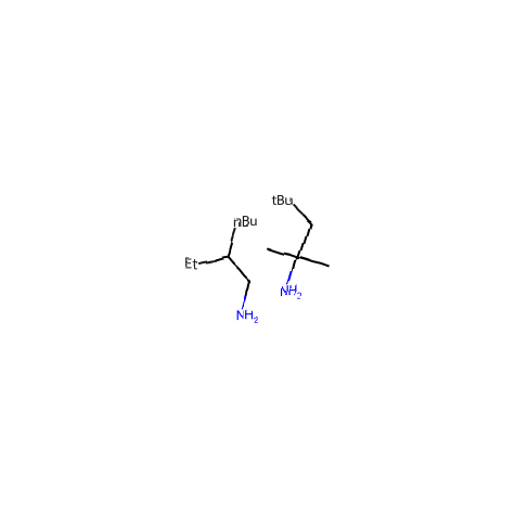 CC(C)(C)CC(C)(C)N.CCCCC(CC)CN